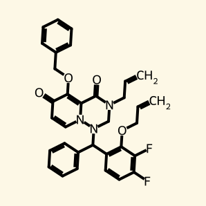 C=CCOc1c(C(c2ccccc2)N2CN(CC=C)C(=O)c3c(OCc4ccccc4)c(=O)ccn32)ccc(F)c1F